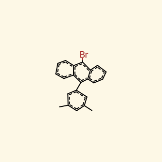 Cc1cc(C)cc(-c2c3ccccc3c(Br)c3ccccc23)c1